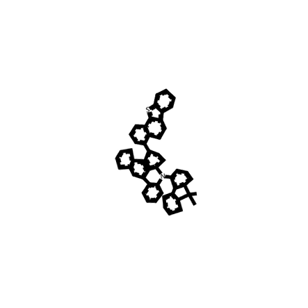 CC1(C)c2ccccc2-c2c(N(c3ccc(-c4cccc5c4ccc4c6ccccc6sc54)cc3)c3ccccc3-c3ccc4ccccc4c3)cccc21